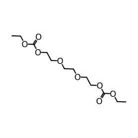 CCOC(=O)OCCOCCOCCOC(=O)OCC